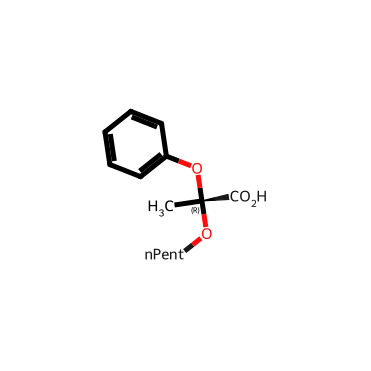 CCCCCO[C@](C)(Oc1ccccc1)C(=O)O